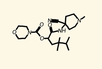 CC(C)C(C)(C)CC(OC(=O)N1CCOCC1)C(=O)NC1(C#N)CCN(C)CC1